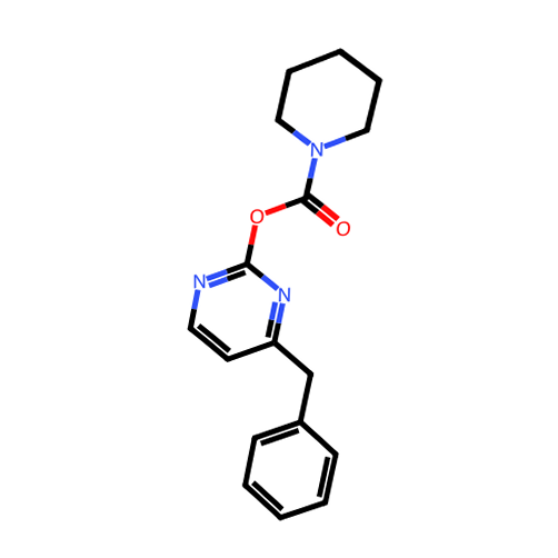 O=C(Oc1nccc(Cc2ccccc2)n1)N1CCCCC1